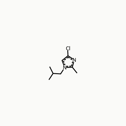 Cc1nc(Cl)cn1CC(C)C